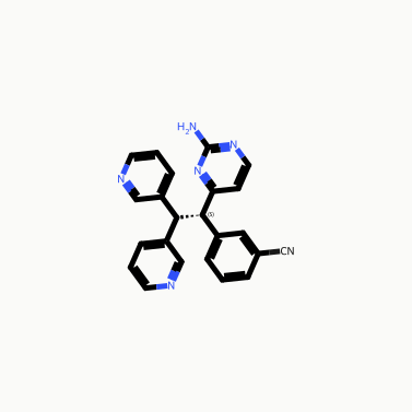 N#Cc1cccc([C@@H](c2ccnc(N)n2)C(c2cccnc2)c2cccnc2)c1